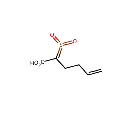 C=CCCC(C(=O)O)=S(=O)=O